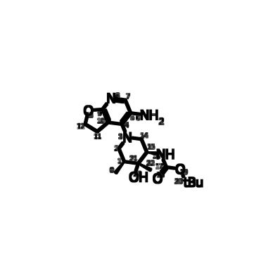 C[C@H]1CN(c2c(N)cnc3c2CCO3)C[C@@H](NC(=O)OC(C)(C)C)[C@]1(C)O